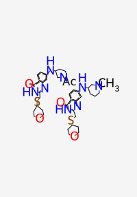 CC(=O)N1CCC(Nc2ccc3c(=O)[nH]c(CSC4CCOCC4)nc3c2)C1.CN1CCCC(Nc2ccc3c(=O)[nH]c(CSC4CCOCC4)nc3c2)C1